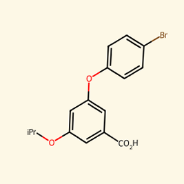 CC(C)Oc1cc(Oc2ccc(Br)cc2)cc(C(=O)O)c1